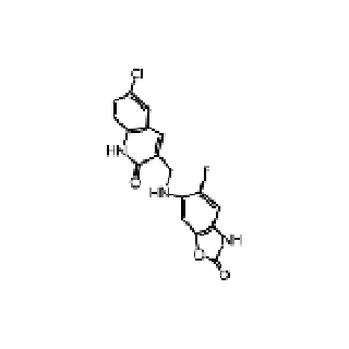 O=c1[nH]c2cc(F)c(NCc3cc4cc(Cl)ccc4[nH]c3=O)cc2o1